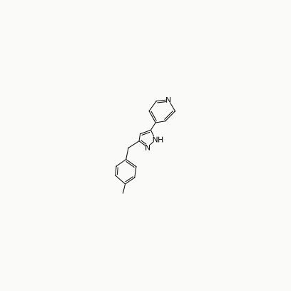 Cc1ccc(Cc2cc(-c3ccncc3)[nH]n2)cc1